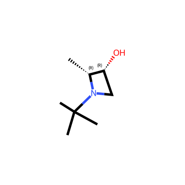 C[C@@H]1[C@H](O)CN1C(C)(C)C